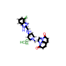 Cl.Cl.O=c1ccc2ccc(=O)n3c2n1C[C@H]3CN1CCC(NCc2nc3c(F)cccc3[nH]2)CC1